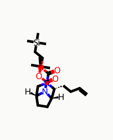 C=CCC[C@@H]1[C@@H]2CC[C@H](CN1C(=O)OCC[Si](C)(C)C)N2C(=O)OC(C)(C)C